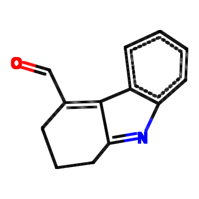 O=CC1=C2C(=Nc3ccccc32)CCC1